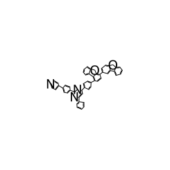 c1ccc(-c2cc(-c3ccc(-c4ccc(-c5ccc6oc7ccccc7c6c5)c5oc6ccccc6c45)cc3)nc(-c3ccc(-c4ccncc4)cc3)n2)cc1